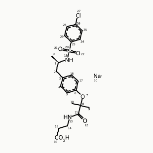 C[C@H](Cc1ccc(OC(C)(C)C(=O)NCCC(=O)O)cc1)NS(=O)(=O)c1ccc(Cl)cc1.[Na]